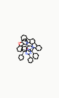 c1ccc(-c2ccc(-c3cccc4oc5cccc(-c6nc(-c7ccccc7)nc(-n7c8ccccc8c8ccc9c%10ccccc%10n(-c%10ccc(-c%11ccccc%11)cc%10)c9c87)n6)c5c34)cc2)cc1